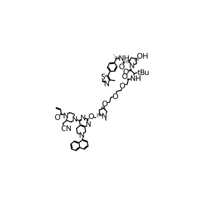 C=CC(=O)N1CCN(c2nc(OC[C@@H]3C[C@@H](OCCOCCOCC(=O)NC(C(=O)N4C[C@H](O)C[C@H]4C(=O)N[C@@H](C)c4ccc(-c5scnc5C)cc4)C(C)(C)C)CN3C)nc3c2CCN(c2cccc4ccccc24)C3)CC1CC#N